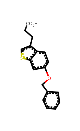 O=C(O)CCc1csc2cc(OCc3ccccc3)ccc12